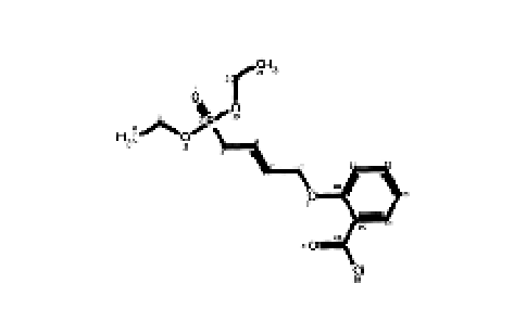 CCOP(=O)(CC=CCOc1ccccc1C(=O)Cl)OCC